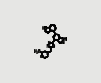 CC1CN(Cc2nnc(-c3cc(-c4cccc5[nH]ccc45)cc4[nH]ncc34)o2)CCO1